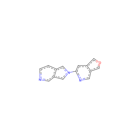 c1cc2cn(-c3cc4cocc4cn3)cc2cn1